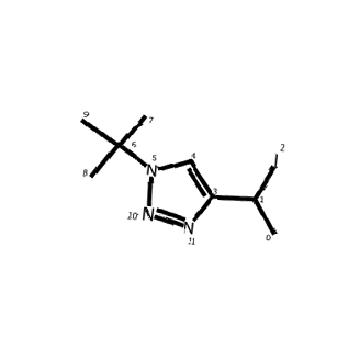 CC(I)c1cn(C(C)(C)C)nn1